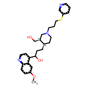 COc1ccc2nccc(C(O)CC[C@@H]3CCN(CCCSc4cccnc4)C[C@@H]3CO)c2c1